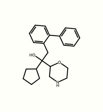 OC(Cc1ccccc1-c1ccccc1)(C1CCCC1)C1CNCCO1